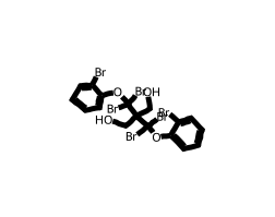 OCC(CO)(C(Br)(Br)Oc1ccccc1Br)C(Br)(Br)Oc1ccccc1Br